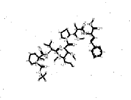 CC[C@H](C)C(C(CC(=O)N1CCC[C@H]1C(OC)C(C)C(=O)NC(/C=C/c1ccccc1)C(=O)OC)OC)N(C)C(=O)[C@@H](NC(=O)C1(C)CCCCN1C(=O)OC(C)(C)C)C(C)C